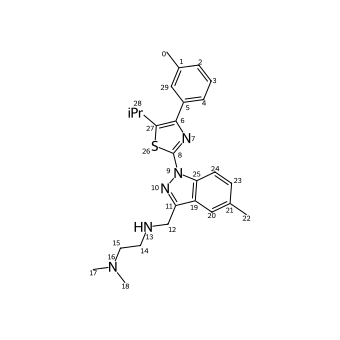 Cc1cccc(-c2nc(-n3nc(CNCCN(C)C)c4cc(C)ccc43)sc2C(C)C)c1